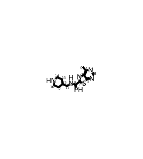 Cc1ncnc2sc(C(=P)NCC3CCNCC3)nc12